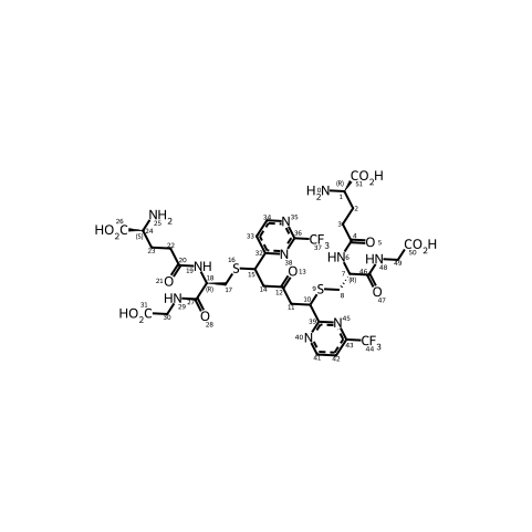 N[C@H](CCC(=O)N[C@@H](CSC(CC(=O)CC(SC[C@H](NC(=O)CC[C@H](N)C(=O)O)C(=O)NCC(=O)O)c1ccnc(C(F)(F)F)n1)c1nccc(C(F)(F)F)n1)C(=O)NCC(=O)O)C(=O)O